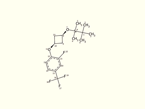 CC(C)(C)[Si](C)(C)O[C@H]1C[C@@H](Oc2ccc(C(F)(F)F)cc2F)C1